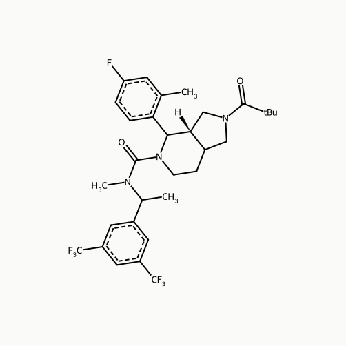 Cc1cc(F)ccc1C1[C@@H]2CN(C(=O)C(C)(C)C)CC2CCN1C(=O)N(C)C(C)c1cc(C(F)(F)F)cc(C(F)(F)F)c1